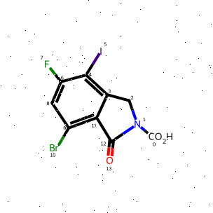 O=C(O)N1Cc2c(I)c(F)cc(Br)c2C1=O